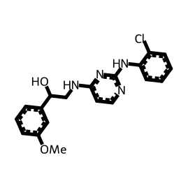 COc1cccc(C(O)CNc2ccnc(Nc3ccccc3Cl)n2)c1